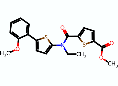 CCN(C(=O)c1ccc(C(=O)OC)s1)c1ccc(-c2ccccc2OC)s1